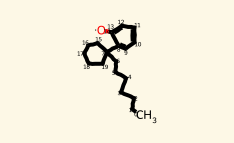 CCCCCCCC1(c2ccccc2[O])CCCCC1